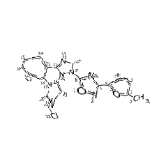 Cc1ccc(-c2noc(N3CN=C4c5ccccc5N5CN(Cl)C=C5N43)n2)o1